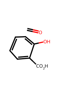 C=O.O=C(O)c1ccccc1O